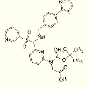 CC(C)(C)OC(=O)N(CC(=O)O)c1cccc(C(NCc2ccc(-c3nccs3)cc2)S(=O)(=O)c2cccnc2)n1